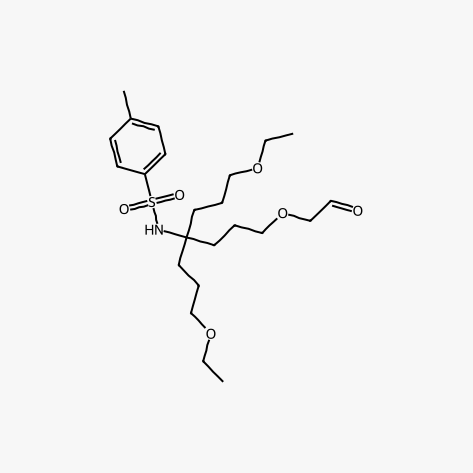 CCOCCCC(CCCOCC)(CCCOCC=O)NS(=O)(=O)c1ccc(C)cc1